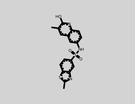 Cc1nc2cc(S(=O)(=O)Nc3ccc4nc(O)c(C)cc4c3)ccc2s1